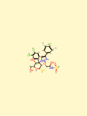 CS(=O)(=O)NC(O)CO[C@@H]1[C@H](S)O[C@@H](CO)[C@@H](O)[C@@]1(c1ccc(Cl)c(Cl)c1)n1cc(-c2cc(F)c(Cl)c(F)c2)nn1